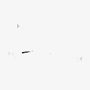 O=C(O)[C@]1(CO)C[C@H]1CO